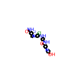 NC(=O)c1ccc2c(ccn2-c2ccc(Nc3ccc(NC(=O)c4ccc(N5CCC(O)CC5)cc4)cc3)c(Cl)c2)c1